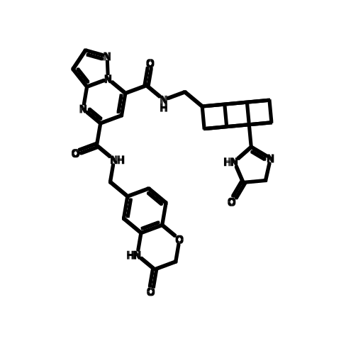 O=C1CN=C(C23C4C5C2C2C3C4C52CNC(=O)c2cc(C(=O)NCc3ccc4c(c3)NC(=O)CO4)nc3ccnn23)N1